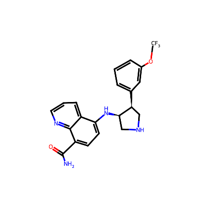 NC(=O)c1ccc(N[C@@H]2CNC[C@@H]2c2cccc(OC(F)(F)F)c2)c2cccnc12